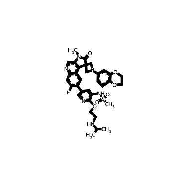 CC(C)NCCOc1ncc(-c2cc3c4c(cnc3cc2F)N(C)C(=O)C42CN(c3ccc4c(c3)OCCO4)C2)cc1NS(C)(=O)=O